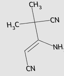 CC(C)(C#N)C(N)=CC#N